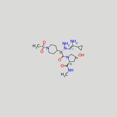 CNC(=O)[C@@H]1C[C@@H](O)CN1C(=O)[C@H](C1CCN(S(C)(=O)=O)CC1)N(N)/C=C(\N)C1CC1